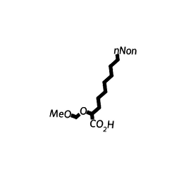 CCCCCCCCCCCCCCCCC(OCOC)C(=O)O